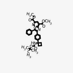 COC(=O)c1cc(C(=O)OC)c2nc(-c3ccc(C4(NC(=O)OC(C)(C)C)CCC4)cc3)c(-c3ccccc3)n2n1